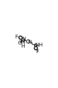 O=c1[nH]c(C2CCN(CCc3c[nH]c4cc(F)ccc34)CC2)nc2ccc(F)cc12